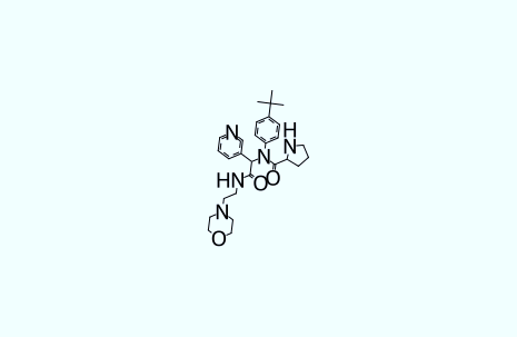 CC(C)(C)c1ccc(N(C(=O)C2CCCN2)C(C(=O)NCCN2CCOCC2)c2cccnc2)cc1